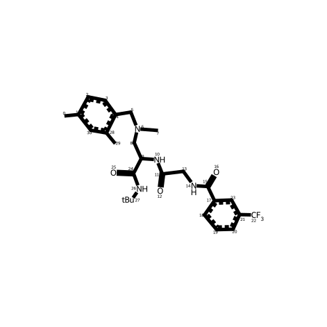 Cc1ccc(CN(C)CC(NC(=O)CNC(=O)c2cccc(C(F)(F)F)c2)C(=O)NC(C)(C)C)c(C)c1